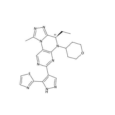 CC[C@@H]1c2nnc(C)n2-c2cnc(-c3cn[nH]c3-c3nccs3)nc2N1C1CCOCC1